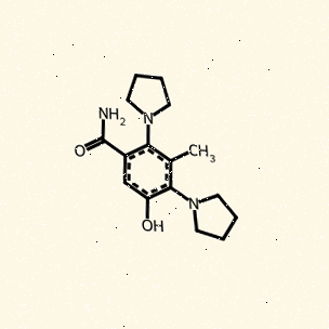 Cc1c(N2CCCC2)c(O)cc(C(N)=O)c1N1CCCC1